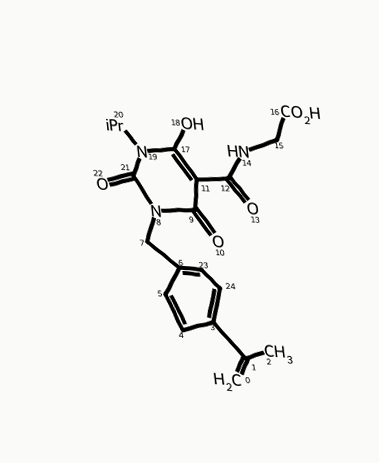 C=C(C)c1ccc(Cn2c(=O)c(C(=O)NCC(=O)O)c(O)n(C(C)C)c2=O)cc1